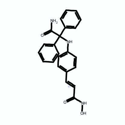 NC(=O)C(Nc1ccc(/C=C/C(=O)NO)cc1)(c1ccccc1)c1ccccc1